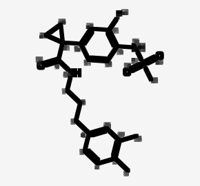 Cc1ccc(CCCNC(=O)C2(c3ccc(NS(C)(=O)=O)c(F)c3)CC2)cc1C